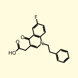 O=C(O)Cc1cn(CCc2ccccc2)c2ccc(F)cc2c1=O